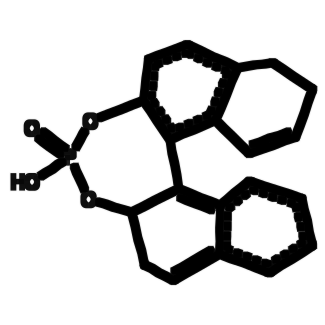 O=P1(O)Oc2ccc3c(c2C2=c4ccccc4=CCC2O1)C=CCC3